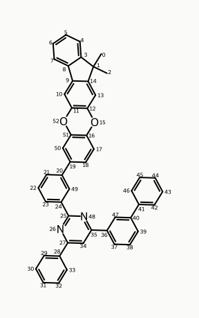 CC1(C)c2ccccc2-c2cc3c(cc21)Oc1ccc(-c2cccc(-c4nc(-c5ccccc5)cc(-c5cccc(-c6ccccc6)c5)n4)c2)cc1O3